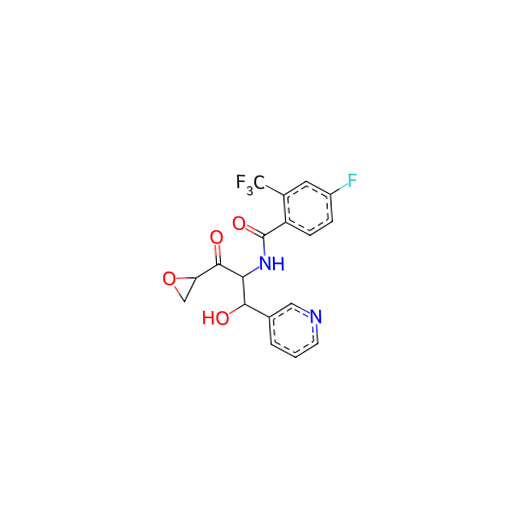 O=C(NC(C(=O)C1CO1)C(O)c1cccnc1)c1ccc(F)cc1C(F)(F)F